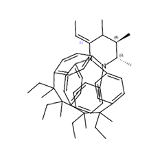 C/C=C(\C(C)[C@@H](C)[C@H](C)N1c2ccc(cc2)C(C)(CC)C(C)(CC)c2ccc1cc2)N1c2ccc(cc2)C(C)(CC)C(C)(CC)c2ccc1cc2